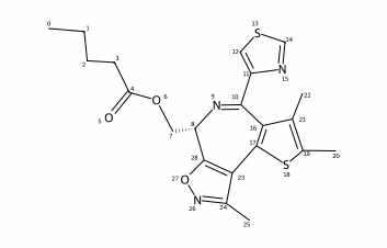 CCCCC(=O)OC[C@@H]1N=C(c2cscn2)c2c(sc(C)c2C)-c2c(C)noc21